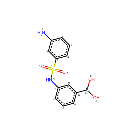 Nc1cccc(S(=O)(=O)Nc2cccc(B(O)O)c2)c1